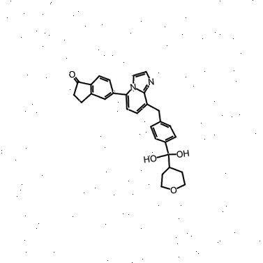 O=C1CCc2cc(-c3ccc(Cc4ccc(C(O)(O)C5CCOCC5)cc4)c4nccn34)ccc21